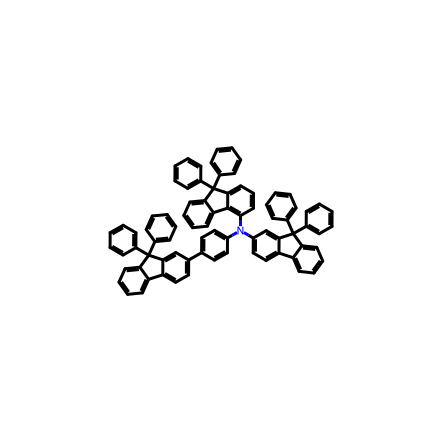 c1ccc(C2(c3ccccc3)c3ccccc3-c3ccc(-c4ccc(N(c5ccc6c(c5)C(c5ccccc5)(c5ccccc5)c5ccccc5-6)c5cccc6c5-c5ccccc5C6(c5ccccc5)c5ccccc5)cc4)cc32)cc1